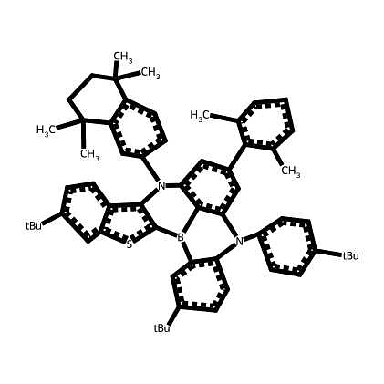 Cc1cccc(C)c1-c1cc2c3c(c1)N(c1ccc4c(c1)C(C)(C)CCC4(C)C)c1c(sc4cc(C(C)(C)C)ccc14)B3c1cc(C(C)(C)C)ccc1N2c1ccc(C(C)(C)C)cc1